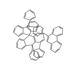 c1ccc(N(c2ccc(-c3cc4ccccc4c4ccccc34)cc2)c2ccccc2C2(c3ccccc3)c3ccccc3C3(c4ccccc4)c4ccccc4-c4cccc2c43)cc1